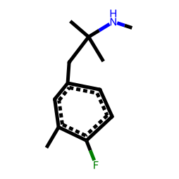 CNC(C)(C)Cc1ccc(F)c(C)c1